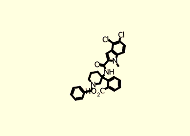 Cn1c(C(=O)NC2(c3ccccc3C(=O)O)CCCN(Cc3ccccc3)C2)cc2c(Cl)c(Cl)ccc21